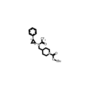 CC(C)(C)OC(=O)N1CCC(CN(C(=O)C(F)(F)F)[C@@H]2C[C@H]2c2ccccc2)CC1